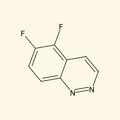 Fc1ccc2nnccc2c1F